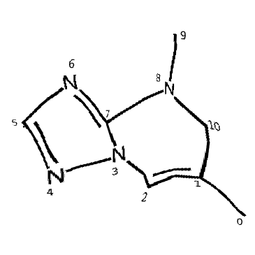 CC1=Cn2n[c]nc2N(C)C1